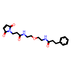 O=C(CCc1ccccc1)NCCOCCNC(=O)CCN1C(=O)C=CC1=O